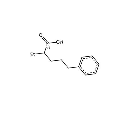 CCC(CCCc1ccccc1)[PH](=O)O